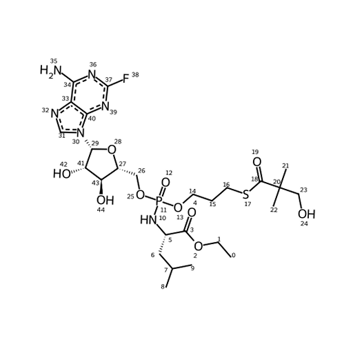 CCOC(=O)[C@H](CC(C)C)NP(=O)(OCCCSC(=O)C(C)(C)CO)OC[C@H]1O[C@@H](n2cnc3c(N)nc(F)nc32)[C@@H](O)[C@@H]1O